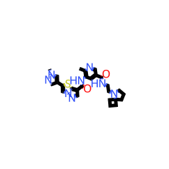 Cc1ncc(C(=O)NCCN2CCCC23CCC3)cc1NC(=O)c1cnn2cc(-c3cnn(C)c3)sc12